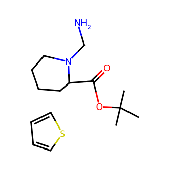 CC(C)(C)OC(=O)C1CCCCN1CN.c1ccsc1